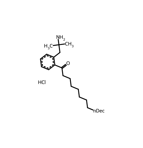 CCCCCCCCCCCCCCCCCC(=O)c1ccccc1CC(C)(C)N.Cl